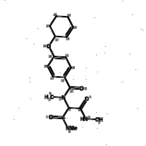 CNC(=O)C(C(=O)NO)N(C)C(=O)c1ccc(OC2C=CCCC2)cc1